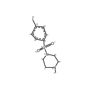 CN1CCN(S(=O)(=O)c2ccc(I)cc2)CC1